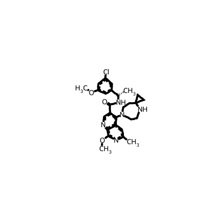 COc1cc(Cl)cc([C@H](C)NC(=O)c2cnc3c(OC)nc(C)cc3c2N2CCNC3(CC2)CC3)c1